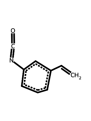 C=Cc1cccc(N=C=O)c1